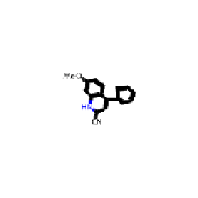 COc1ccc2c(c1)NC(C#N)C=C2c1ccccc1